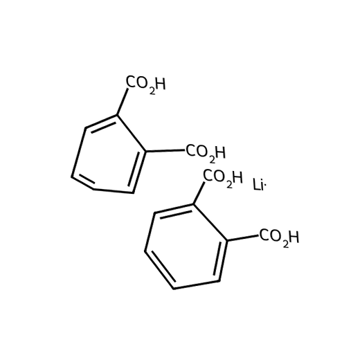 O=C(O)c1ccccc1C(=O)O.O=C(O)c1ccccc1C(=O)O.[Li]